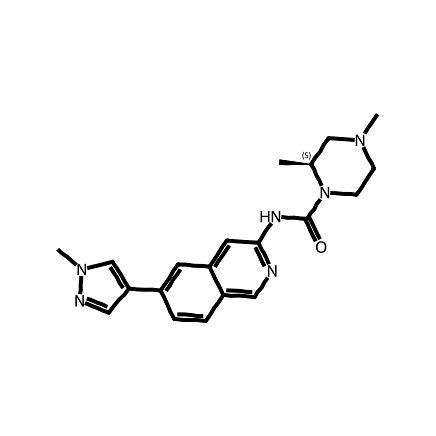 C[C@H]1CN(C)CCN1C(=O)Nc1cc2cc(-c3cnn(C)c3)ccc2cn1